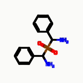 NC(c1ccccc1)S(=O)(=O)C(N)c1ccccc1